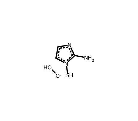 Nc1nccn1S.[O]O